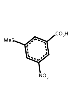 CSc1cc(C(=O)O)cc([N+](=O)[O-])c1